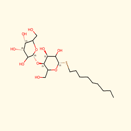 CCCCCCCCCS[C@@H]1OC(CO)[C@@H](O[C@H]2OC(CO)[C@@H](O)[C@@H](O)C2O)[C@@H](O)C1O